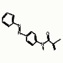 C=C(C)C(=O)N(C)c1ccc(N=Nc2ccccc2)cc1